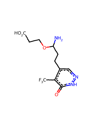 NC(CCc1cn[nH]c(=O)c1C(F)(F)F)OCCC(=O)O